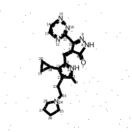 Cc1[nH]c(C=C2C(=O)NN=C2c2nccnn2)c(C2CC2)c1CCN1CCCC1